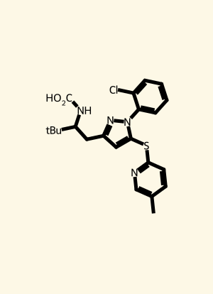 Cc1ccc(Sc2cc(CC(NC(=O)O)C(C)(C)C)nn2-c2ccccc2Cl)nc1